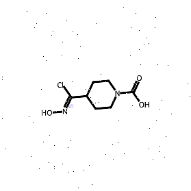 O=C(O)N1CCC(/C(Cl)=N/O)CC1